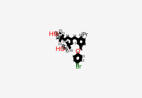 CC(C)c1ccc(COc2ccc(Br)cc2)cc1CC(CCC(C)(C)[Si](C)(C)O)CC(C)(C)[Si](C)(C)O